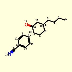 CCCC[C@H]1CC[C@H](c2ccc(C#N)cc2)C(=O)C1